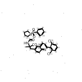 CC(Cc1ccc2nc(-c3c(Cl)cccc3Cl)ccc2c1)(NC(=O)[C@@H]1CCCN1S(=O)(=O)c1ccccc1)C(=O)O